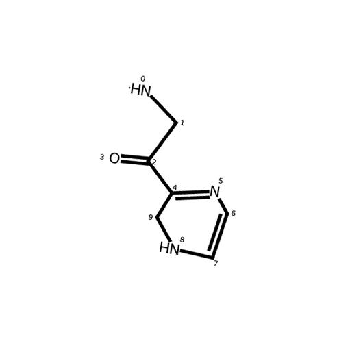 [NH]CC(=O)C1=NC=CNC1